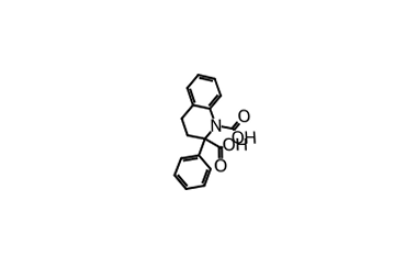 O=C(O)N1c2ccccc2CCC1(C(=O)O)c1ccccc1